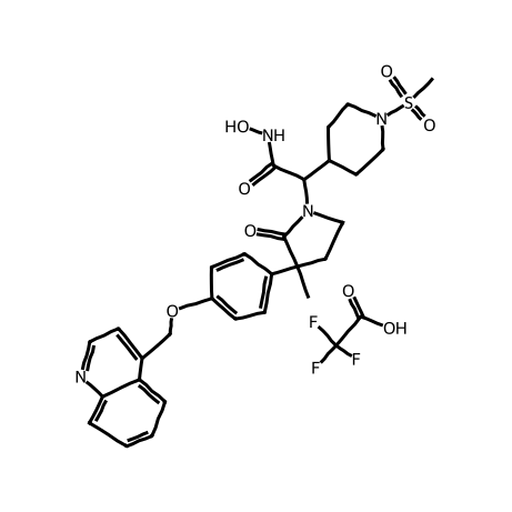 CC1(c2ccc(OCc3ccnc4ccccc34)cc2)CCN(C(C(=O)NO)C2CCN(S(C)(=O)=O)CC2)C1=O.O=C(O)C(F)(F)F